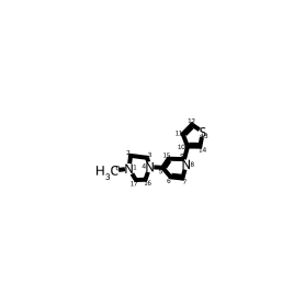 CN1CCN(c2ccnc(-c3ccsc3)c2)CC1